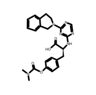 CN(C)C(=O)Oc1ccc(C[C@H](Nc2ncnc(N3CCc4ccccc4C3)n2)C(=O)O)cc1